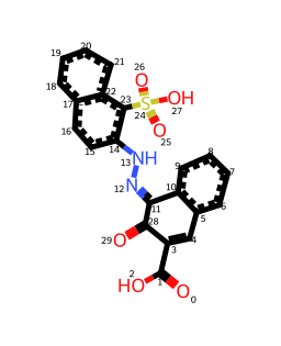 O=C(O)C1=Cc2ccccc2/C(=N\Nc2ccc3ccccc3c2S(=O)(=O)O)C1=O